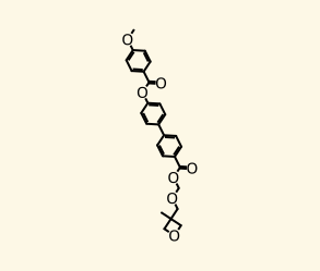 COc1ccc(C(=O)Oc2ccc(-c3ccc(C(=O)OCOCC4(C)COC4)cc3)cc2)cc1